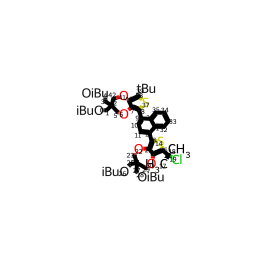 CC(C)COCC1(COCC(C)C)COc2c(-c3ccc(-c4sc(C(C)(C)Cl)c5c4OCC(COCC(C)C)(COCC(C)C)CO5)c4ccccc34)sc(C(C)(C)C)c2OC1